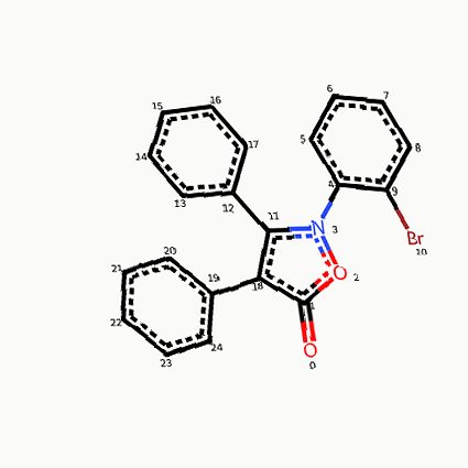 O=c1on(-c2ccccc2Br)c(-c2ccccc2)c1-c1ccccc1